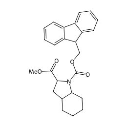 COC(=O)C1CC2CCCCC2N1C(=O)OCC1c2ccccc2-c2ccccc21